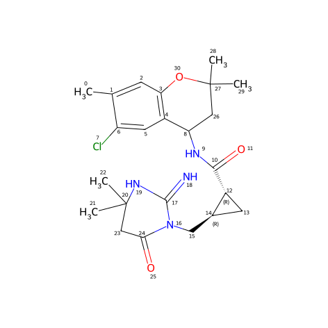 Cc1cc2c(cc1Cl)C(NC(=O)[C@@H]1C[C@H]1CN1C(=N)NC(C)(C)CC1=O)CC(C)(C)O2